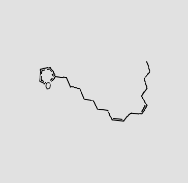 CCCCC/C=C\C/C=C\CCCCCCCc1ccco1